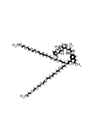 COCCOCCOCCOCCOCCOCCOCCOCCCN(CCCOCCOCCOCCOCCOCCOCCOCCOC)CCCc1cc(NC(=O)[C@H](C)NC(=O)[C@@H](NC(=O)CN2C(=O)C=CC2=O)C(C)C)ccc1CC(C)C